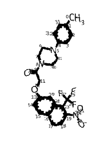 Cc1ccc(N2CCN(C(=O)COc3ccc4ccc([N+](=O)[O-])c(C(F)(F)F)c4c3)CC2)cc1